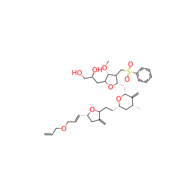 C=CCOC/C=C/[C@H]1CC(=C)C(CC[C@H]2C[C@@H](C)C(=C)[C@@H](C[C@@H]3OC(C[C@H](O)CO)[C@H](OC)C3CS(=O)(=O)c3ccccc3)O2)O1